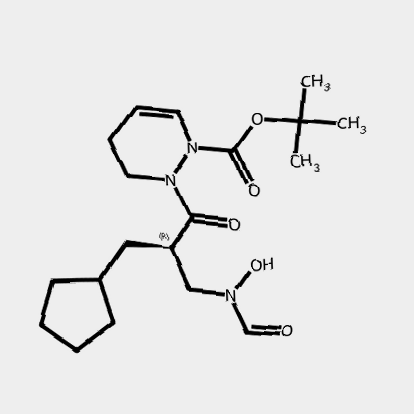 CC(C)(C)OC(=O)N1C=CCCN1C(=O)[C@H](CC1CCCC1)CN(O)C=O